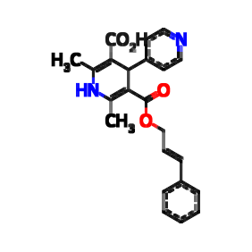 CC1=C(C(=O)O)C(c2ccncc2)C(C(=O)OC/C=C/c2ccccc2)=C(C)N1